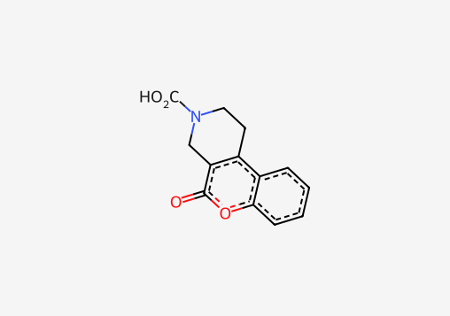 O=C(O)N1CCc2c(c(=O)oc3ccccc23)C1